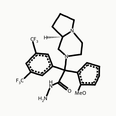 COc1ccccc1C(C(=O)NN)(c1cc(C(F)(F)F)cc(C(F)(F)F)c1)N1CCN2CCC[C@@H]2C1